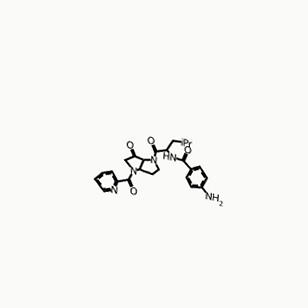 CC(C)CC(NC(=O)c1ccc(N)cc1)C(=O)N1CCC2C1C(=O)CN2C(=O)c1ccccn1